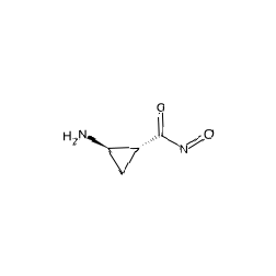 N[C@@H]1C[C@H]1C(=O)N=O